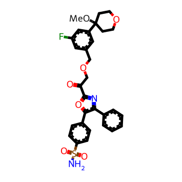 COC1(c2cc(F)cc(COCC(=O)c3nc(-c4ccccc4)c(-c4ccc(S(N)(=O)=O)cc4)o3)c2)CCOCC1